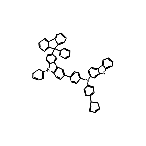 C1=CCCC(n2c3ccc(-c4ccc(N(c5ccc(C6C=CC=CC6)cc5)c5ccc6c(c5)sc5ccccc56)cc4)cc3c3cc(C4(c5ccccc5)c5ccccc5-c5ccccc54)ccc32)=C1